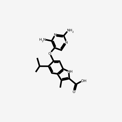 Cc1c(C(=O)O)[nH]c2cc(Oc3cnc(N)nc3N)c(C(C)C)cc12